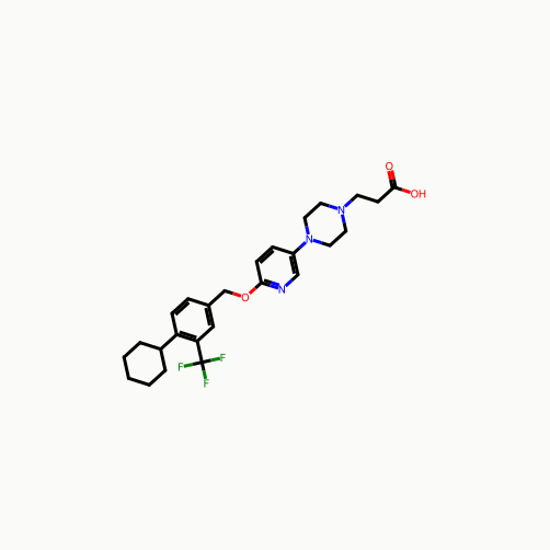 O=C(O)CCN1CCN(c2ccc(OCc3ccc(C4CCCCC4)c(C(F)(F)F)c3)nc2)CC1